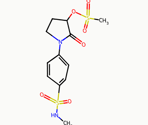 CNS(=O)(=O)c1ccc(N2CCC(OS(C)(=O)=O)C2=O)cc1